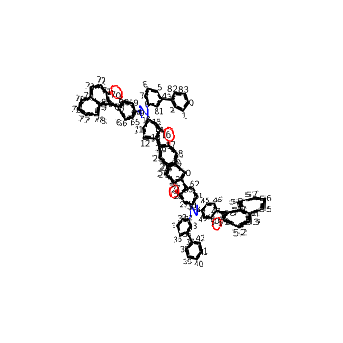 c1ccc(-c2cccc(N(c3ccc4c(c3)oc3cc5cc6c(cc5cc34)oc3cc(N(c4cccc(-c5ccccc5)c4)c4ccc5c(c4)oc4ccc7ccccc7c45)ccc36)c3ccc4c(c3)oc3ccc5ccccc5c34)c2)cc1